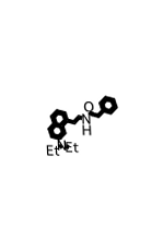 CCN(CC)c1ccc2cccc(CCNC(=O)Cc3ccccc3)c2c1